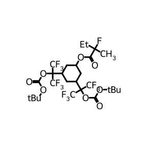 CCC(C)(F)C(=O)OC1CC(C(OC(=O)OC(C)(C)C)(C(F)(F)F)C(F)(F)F)CC(C(OC(=O)OC(C)(C)C)(C(F)(F)F)C(F)(F)F)C1